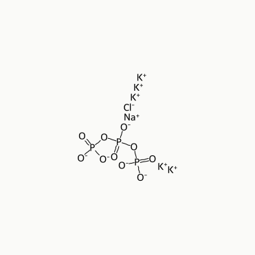 O=P([O-])([O-])OP(=O)([O-])OP(=O)([O-])[O-].[Cl-].[K+].[K+].[K+].[K+].[K+].[Na+]